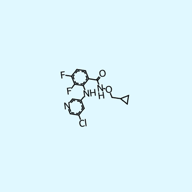 O=C(NOCC1CC1)c1ccc(F)c(F)c1Nc1cncc(Cl)c1